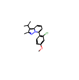 COc1ccc(-c2cccc3c(C(C)C)c(C)nn23)c(Cl)c1